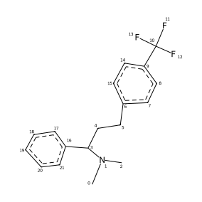 CN(C)C(CCc1ccc(C(F)(F)F)cc1)c1ccccc1